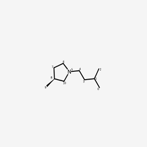 CC(C)CCN1CC[C@H](C)C1